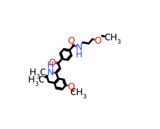 CCOCCCNC(=O)c1ccc(C(=O)C=C2NC(C)(C)Cc3ccc(OC)cc32)cc1